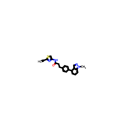 C#Cc1nc(NC(=O)CCc2ccc(-c3cccc4c3cnn4C)cc2)cs1